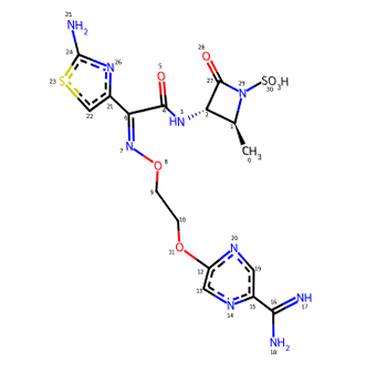 C[C@H]1[C@H](NC(=O)/C(=N\OCCOc2cnc(C(=N)N)cn2)c2csc(N)n2)C(=O)N1S(=O)(=O)O